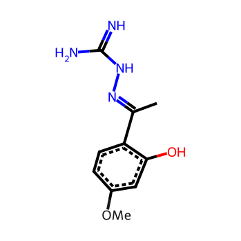 COc1ccc(C(C)=NNC(=N)N)c(O)c1